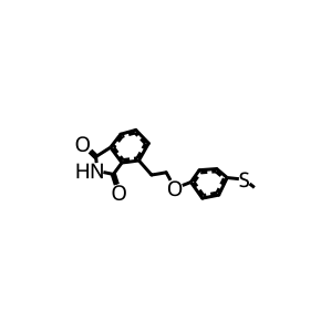 CSc1ccc(OCCc2cccc3c2C(=O)NC3=O)cc1